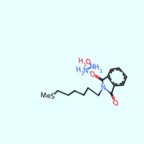 CSCCCCCCN1C(=O)c2ccccc2C1=O.NN.O